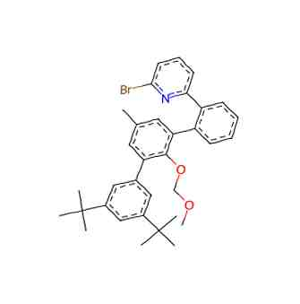 COCOc1c(-c2cc(C(C)(C)C)cc(C(C)(C)C)c2)cc(C)cc1-c1ccccc1-c1cccc(Br)n1